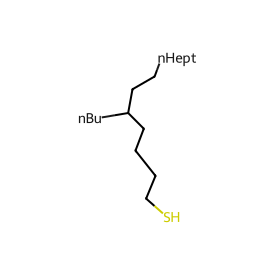 CCCCCCCCCC(CCCC)CCCCS